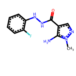 Cn1ncc(C(=O)NNc2ccccc2F)c1N